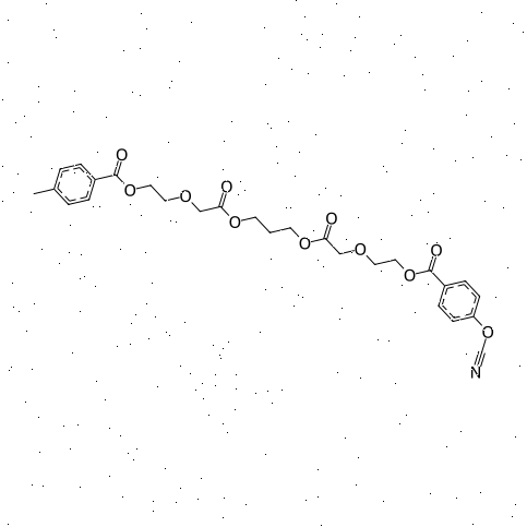 Cc1ccc(C(=O)OCCOCC(=O)OCCCOC(=O)COCCOC(=O)c2ccc(OC#N)cc2)cc1